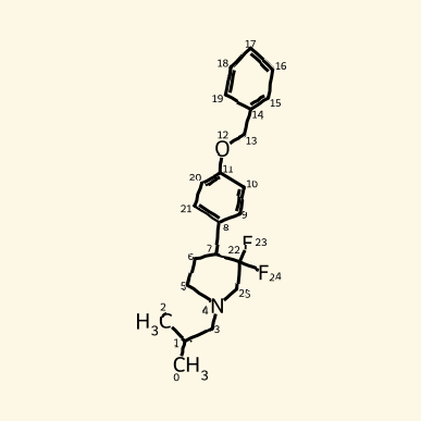 C[C](C)CN1CCC(c2ccc(OCc3ccccc3)cc2)C(F)(F)C1